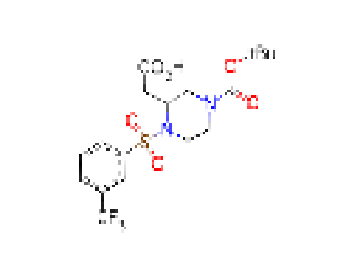 CC(C)(C)OC(=O)N1CCN(S(=O)(=O)c2cccc(C(F)(F)F)c2)C(CC(=O)O)C1